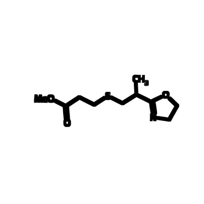 COC(=O)CCSCC(C)C1=NCCO1